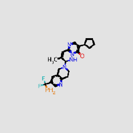 CC1=Cc2ncc(C3CCCC3)c(=O)n2NC1N1CCc2ncc(C(F)(F)P)cc2C1